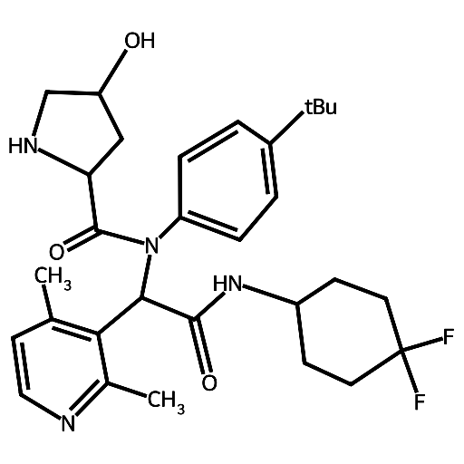 Cc1ccnc(C)c1C(C(=O)NC1CCC(F)(F)CC1)N(C(=O)C1CC(O)CN1)c1ccc(C(C)(C)C)cc1